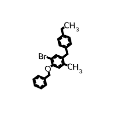 CCc1ccc(Cc2cc(Br)c(OCc3ccccc3)cc2C)cc1